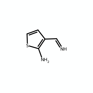 N=Cc1ccsc1N